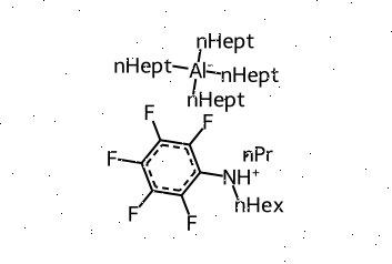 CCCCCC[CH2][Al-]([CH2]CCCCCC)([CH2]CCCCCC)[CH2]CCCCCC.CCCCCC[NH+](CCC)c1c(F)c(F)c(F)c(F)c1F